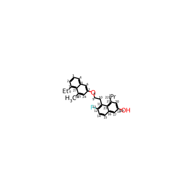 CCc1cccc2cc(OCCc3c(F)ccc4cc(O)cc(C(C)C)c34)cc(C)c12